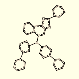 c1ccc(-c2ccc(N(c3cccc(-c4ccccc4)c3)c3cc4nc(-c5ccccc5)oc4c4ccccc34)cc2)cc1